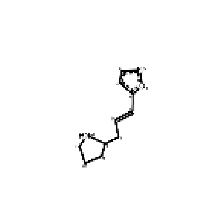 C(=C\c1ccno1)/CC1CCCN1